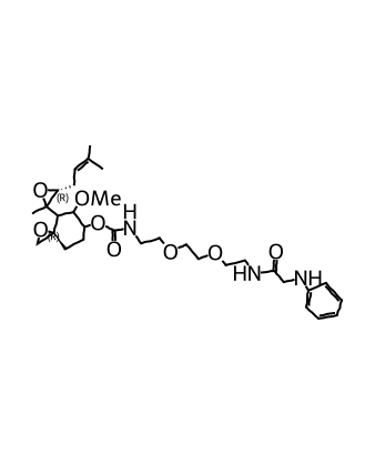 COC1C(OC(=O)NCCOCCOCCNC(=O)CNc2ccccc2)CC[C@]2(CO2)C1C1(C)O[C@@H]1CC=C(C)C